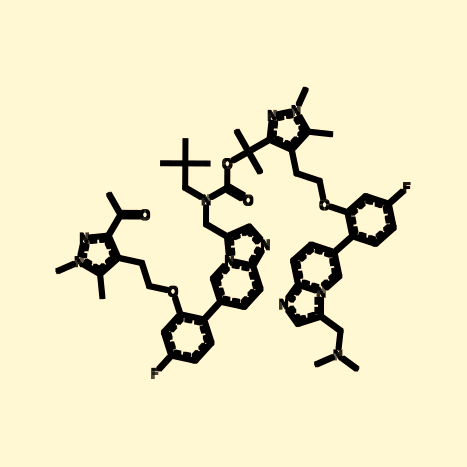 CC(=O)c1nn(C)c(C)c1CCOc1cc(F)ccc1-c1ccc2ncc(CN(CC(C)(C)C)C(=O)OC(C)(C)c3nn(C)c(C)c3CCOc3cc(F)ccc3-c3ccc4ncc(CN(C)C)n4c3)n2c1